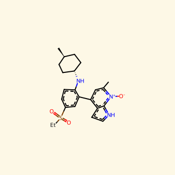 CCS(=O)(=O)c1ccc(N[C@H]2CC[C@H](C)CC2)c(-c2cc(C)[n+]([O-])c3[nH]ccc23)c1